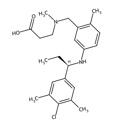 CC[C@@H](Nc1ccc(C)c(CN(C)CCC(=O)O)c1)c1cc(C)c(Cl)c(C)c1